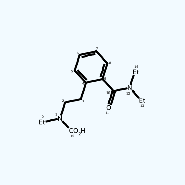 CCN(CCc1ccccc1C(=O)N(CC)CC)C(=O)O